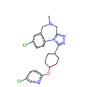 CN1Cc2cc(Cl)ccc2-n2c(nnc2C2CCC(Oc3ccc(Cl)cn3)CC2)C1